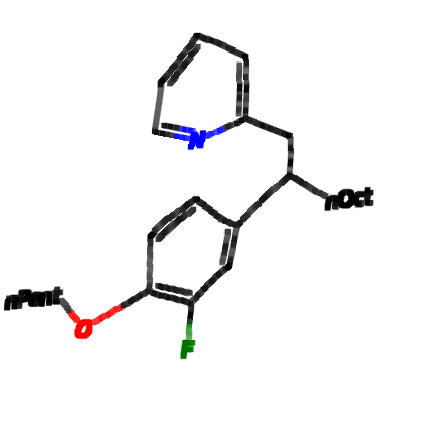 CCCCCCCCC(Cc1ccccn1)c1ccc(OCCCCC)c(F)c1